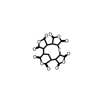 O=C1OC(=O)C2CC1C1C(=O)OC(=O)C1CC1C(=O)OC(=O)C1C1C(=O)OC(=O)C21